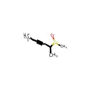 CC#CC(C)[S+](C)[O-]